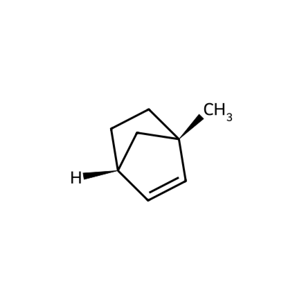 C[C@]12C=C[C@H](CC1)C2